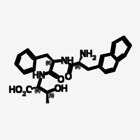 C[C@H](O)[C@@H](NC(=O)[C@@H](Cc1ccccc1)NC(=O)[C@H](N)Cc1ccc2ccccc2c1)C(=O)O